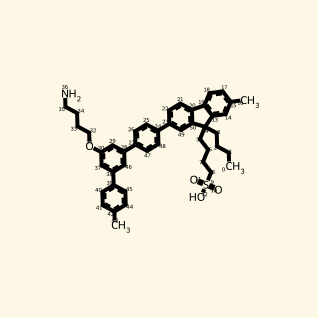 CCCCC1(CCCCS(=O)(=O)O)c2cc(C)ccc2-c2ccc(-c3ccc(-c4cc(OCCCCN)cc(-c5ccc(C)cc5)c4)cc3)cc21